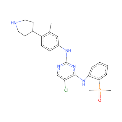 Cc1cc(Nc2ncc(Cl)c(Nc3ccccc3P(C)(C)=O)n2)ccc1C1CCNCC1